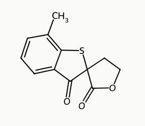 Cc1cccc2c1SC1(CCOC1=O)C2=O